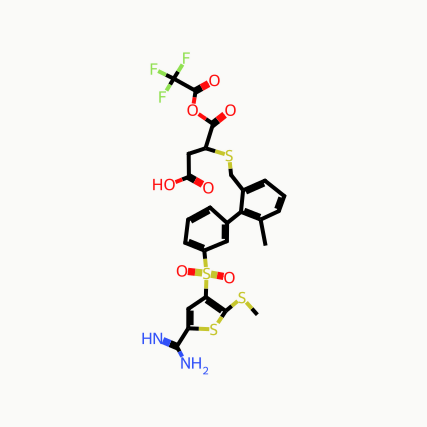 CSc1sc(C(=N)N)cc1S(=O)(=O)c1cccc(-c2c(C)cccc2CSC(CC(=O)O)C(=O)OC(=O)C(F)(F)F)c1